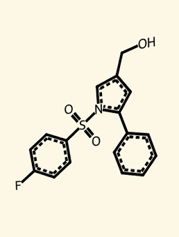 O=S(=O)(c1ccc(F)cc1)n1cc(CO)cc1-c1ccccc1